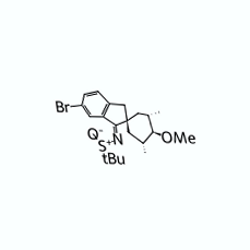 CO[C@H]1[C@H](C)C[C@@]2(Cc3ccc(Br)cc3/C2=N\[S@@+]([O-])C(C)(C)C)C[C@@H]1C